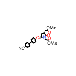 COC(=O)C[C@@H]1C[C@@H](COc2ccc(-c3ccc(C#N)cc3)cc2)N(CC(=O)OC)C1=O